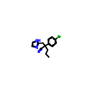 CCCC(C#N)(Cc1ncc[nH]1)c1ccc(Br)cc1